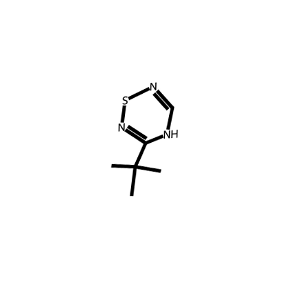 CC(C)(C)C1=NSN=CN1